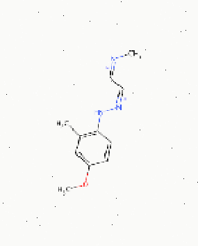 C/N=C\C=N/Nc1ccc(OC)cc1C